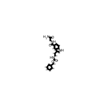 NC(=O)CNC(=O)c1ccc2[nH]cc(CCNC(=O)OCc3ccccc3)c2c1